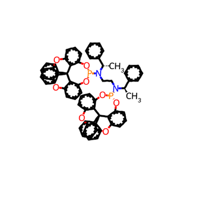 C[C@H](c1ccccc1)N(CCN([C@@H](C)c1ccccc1)P1Oc2cccc3c2C2(c4ccccc4O3)c3ccccc3Oc3cccc(c32)O1)P1Oc2cccc3c2C2(c4ccccc4O3)c3ccccc3Oc3cccc(c32)O1